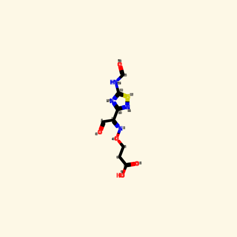 O=[C]C(=NOCCC(=O)O)c1nsc(NC=O)n1